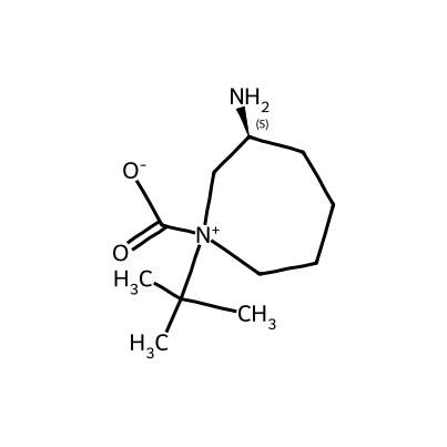 CC(C)(C)[N+]1(C(=O)[O-])CCCC[C@H](N)C1